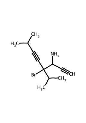 C#CC(N)C(Br)(C#CC(C)C)C(C)C